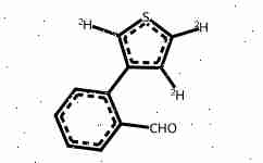 [2H]c1sc([2H])c(-c2ccccc2C=O)c1[2H]